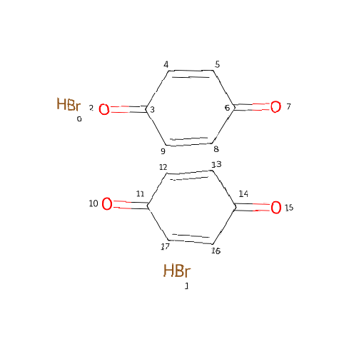 Br.Br.O=C1C=CC(=O)C=C1.O=C1C=CC(=O)C=C1